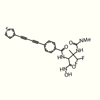 CNC(=O)NC(C)(C(F)F)C(NC(=O)c1ccc(C#CC#Cc2ccsc2)cc1)C(=O)NO